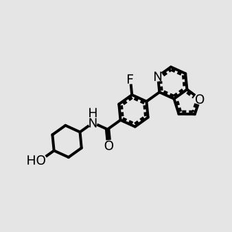 O=C(NC1CCC(O)CC1)c1ccc(-c2nccc3occc23)c(F)c1